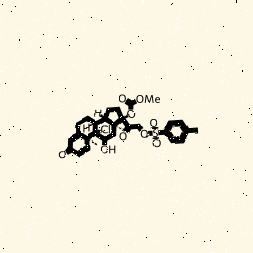 COC(=O)O[C@]1(C(=O)COS(=O)(=O)c2ccc(C)cc2)CC[C@H]2[C@@H]3CCC4=CC(=O)C=C[C@]4(C)[C@@]3(Cl)C(O)C[C@@]21C